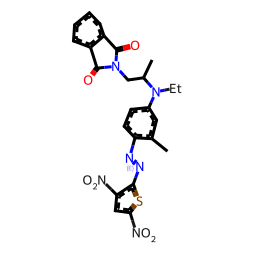 CCN(c1ccc(/N=N/c2sc([N+](=O)[O-])cc2[N+](=O)[O-])c(C)c1)C(C)CN1C(=O)c2ccccc2C1=O